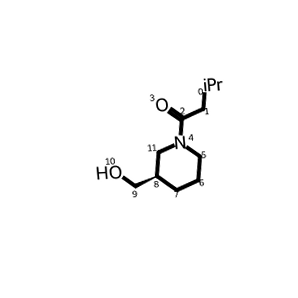 CC(C)CC(=O)N1CCC[C@@H](CO)C1